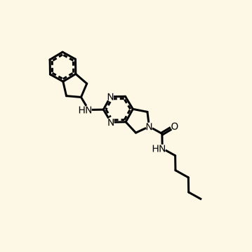 CCCCCNC(=O)N1Cc2cnc(NC3Cc4ccccc4C3)nc2C1